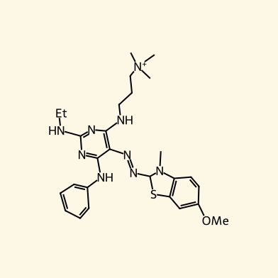 CCNc1nc(NCCC[N+](C)(C)C)c(N=NC2Sc3cc(OC)ccc3N2C)c(Nc2ccccc2)n1